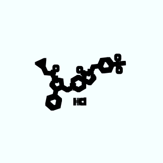 CS(=O)(=O)c1ccc(CN2CCC3(CCN(CC4CN(C(=O)CC5CC5)CC4c4ccccc4)CC3)C2=O)cc1.Cl